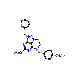 COc1ccc(CN2CCc3nn(Cc4ccccc4)c4nc(SC)nc2c34)cc1